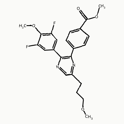 COCCCc1cnc(-c2cc(F)c(OC)c(F)c2)c(-c2ccc(C(=O)OC)cc2)n1